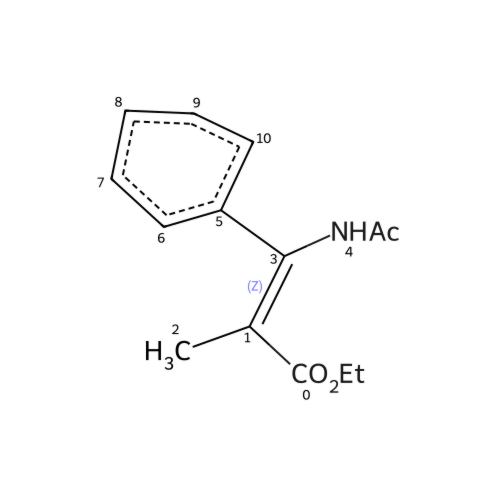 CCOC(=O)/C(C)=C(\NC(C)=O)c1ccccc1